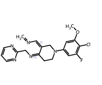 C=N/C=C1/CN(c2cc(F)c(Cl)c(OC)c2)CC/C1=N/Cc1ncccn1